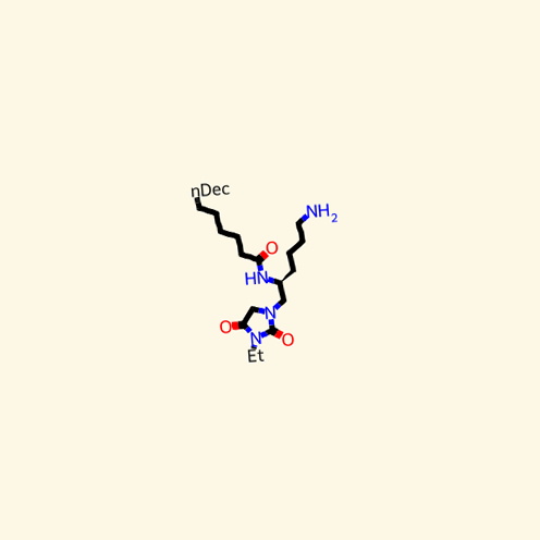 CCCCCCCCCCCCCCCC(=O)N[C@@H](CCCCN)CN1CC(=O)N(CC)C1=O